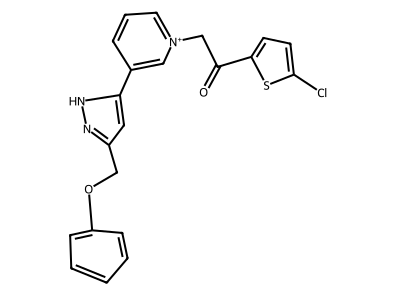 O=C(C[n+]1cccc(-c2cc(COc3ccccc3)n[nH]2)c1)c1ccc(Cl)s1